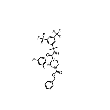 Cc1cc(F)ccc1[C@H]1CN(C(=O)OCc2ccccc2)CCN1C(=O)NC(C)(C)c1cc(C(F)(F)F)cc(C(F)(F)F)c1